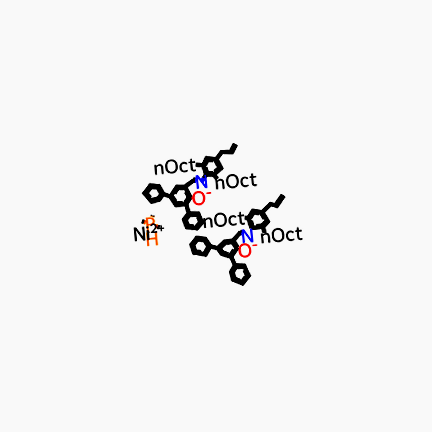 C=CCc1cc(CCCCCCCC)c(N=Cc2cc(-c3ccccc3)cc(-c3ccccc3)c2[O-])c(CCCCCCCC)c1.C=CCc1cc(CCCCCCCC)c(N=Cc2cc(-c3ccccc3)cc(-c3ccccc3)c2[O-])c(CCCCCCCC)c1.C[PH](C)(C)C.[Ni+2]